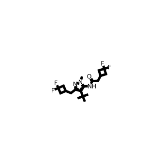 Cn1nc(CC2CC(F)(F)C2)c(C(C)(C)C)c1NC(=O)CC1CC(F)(F)C1